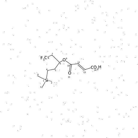 C[Si](C)(C)CCC(CC(F)(F)F)OC(=O)/C=C/C(=O)O